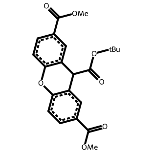 COC(=O)c1ccc2c(c1)C(C(=O)OC(C)(C)C)c1cc(C(=O)OC)ccc1O2